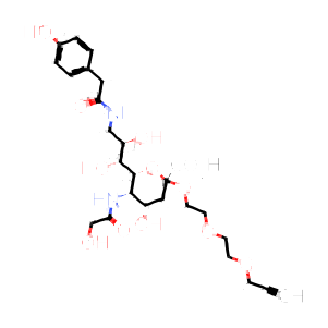 C#CCOCCOCCO[C@]1(C(=O)O)C[C@H](O)[C@@H](NC(=O)CO)[C@H]([C@H](O)[C@H](O)CNC(=O)Cc2ccc(O)cc2)O1